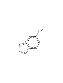 CCCc1ccc2cccn2c1